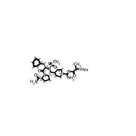 CCCCCCC(C)C(=O)N=C(N)N1CCC(CN([C@H](Cc2ccccc2)C(=O)N2CCC[C@H]2C(N)=O)S(C)(=O)=O)CC1